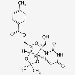 Cc1ccc(C(=O)OC[C@H]2O[C@](CO)(n3ccc(=O)[nH]c3=O)[C@@H]3OC(C)(C)O[C@@H]32)cc1